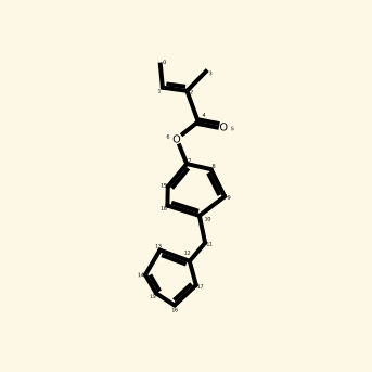 CC=C(C)C(=O)Oc1ccc(Cc2ccccc2)cc1